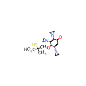 CC(C)(S)C(=O)O.O=C1C=C(N2CC2)C(=O)C(N2CC2)=C1N1CC1